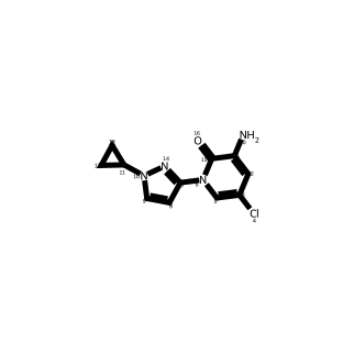 Nc1cc(Cl)cn(-c2ccn(C3CC3)n2)c1=O